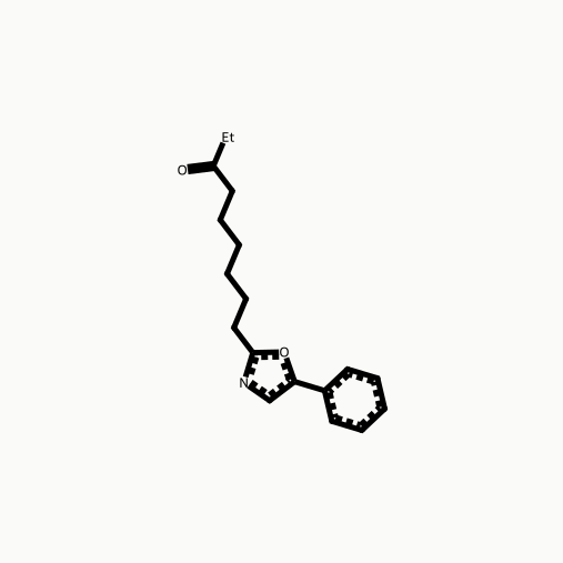 CCC(=O)CCCCCCc1ncc(-c2ccccc2)o1